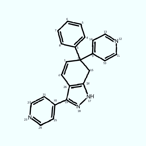 C1=CC(c2ccccc2)(c2ccncc2)Cc2[nH]nc(-c3ccncc3)c21